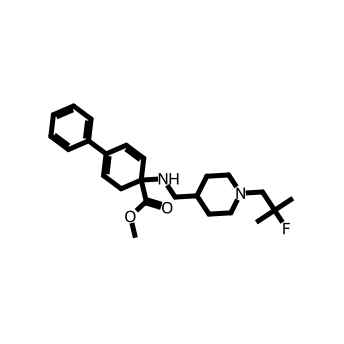 COC(=O)C1(NCC2CCN(CC(C)(C)F)CC2)C=CC(c2ccccc2)=CC1